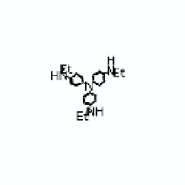 CCNc1ccc(N(c2ccc(NCC)cc2)c2ccc(NCC)cc2)cc1